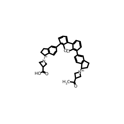 CC(=O)C1CN([C@@H]2CCc3cc(-c4cccc(-c5cccc(-c6ccc7c(c6)CC[C@H]7N6CC(C(=O)O)C6)c5Cl)c4Cl)ccc32)C1